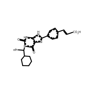 CCCC(C1CCCCC1)n1c(=O)[nH]c2[nH]c(-c3ccc(C=CC(=O)O)cc3)nc2c1=O